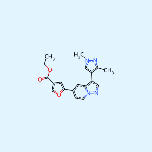 CCOC(=O)c1coc(-c2ccn3ncc(-c4cn(C)nc4C)c3c2)c1